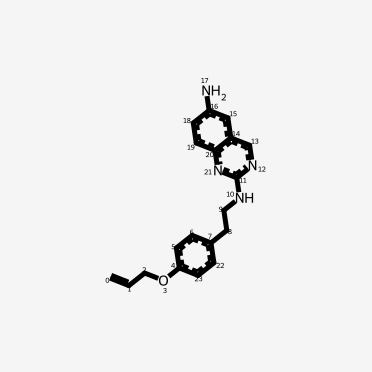 C=CCOc1ccc(CCNc2ncc3cc(N)ccc3n2)cc1